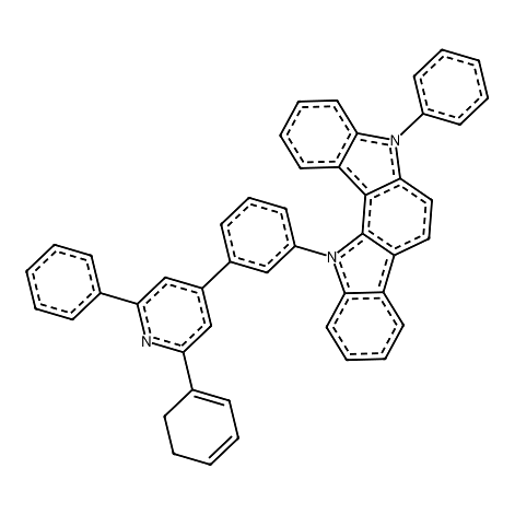 C1=CCCC(c2cc(-c3cccc(-n4c5ccccc5c5ccc6c(c7ccccc7n6-c6ccccc6)c54)c3)cc(-c3ccccc3)n2)=C1